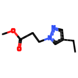 CCc1cnn(CCC(=O)OC)c1